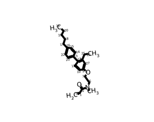 C=CC(=O)N(C)CCOc1ccc(-c2ccc(CCCCC)cc2)c(CC)c1